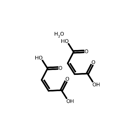 O.O=C(O)/C=C\C(=O)O.O=C(O)/C=C\C(=O)O